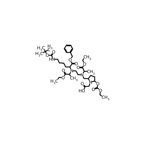 CCOC(=O)OC1CCC(CN(CCN(C(C)C(=O)OCC)C(CCCCNC(=O)OC(C)(C)C)C(=O)OCc2ccccc2)C(C)C(=O)OCC)N1CC(=O)O